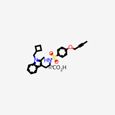 CC#CCOc1ccc(S(=O)(=O)N[C@@H](Cc2c(C)n(CC3CCC3)c3ccccc23)C(=O)O)cc1